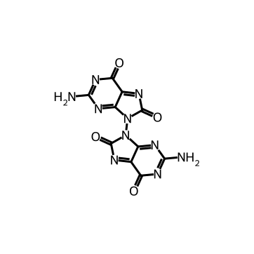 NC1=NC(=O)C2=NC(=O)N(N3C(=O)N=C4C(=O)N=C(N)N=C43)C2=N1